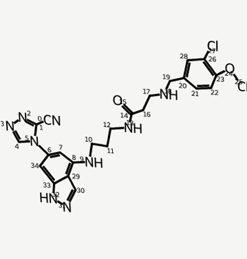 N#Cc1nncn1-c1cc(NCCCNC(=O)CCNCc2ccc(OC(F)(F)F)c(Cl)c2)c2cn[nH]c2c1